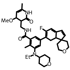 CCN(c1cc(C2=C(F)C=C3C=CC4(CCOCC4)C3C2)cc(C(=O)NCC2C(=O)NC(C)=CC2OC)c1C)C1CCOCC1